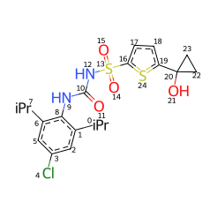 CC(C)c1cc(Cl)cc(C(C)C)c1NC(=O)NS(=O)(=O)c1ccc(C2(O)CC2)s1